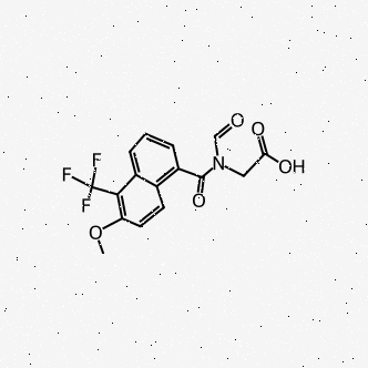 COc1ccc2c(C(=O)N(C=O)CC(=O)O)cccc2c1C(F)(F)F